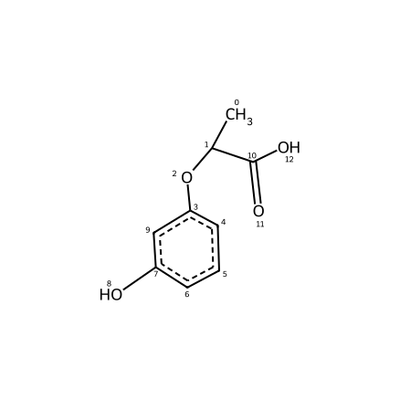 CC(Oc1cccc(O)c1)C(=O)O